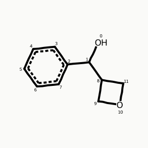 OC(c1ccccc1)C1COC1